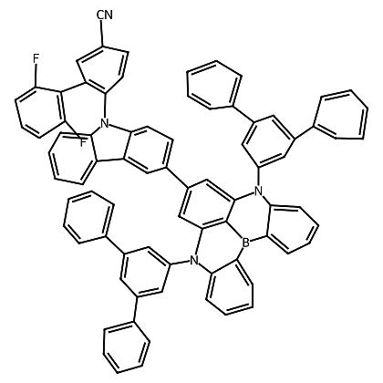 N#Cc1ccc(-n2c3ccccc3c3cc(-c4cc5c6c(c4)N(c4cc(-c7ccccc7)cc(-c7ccccc7)c4)c4ccccc4B6c4ccccc4N5c4cc(-c5ccccc5)cc(-c5ccccc5)c4)ccc32)c(-c2c(F)cccc2F)c1